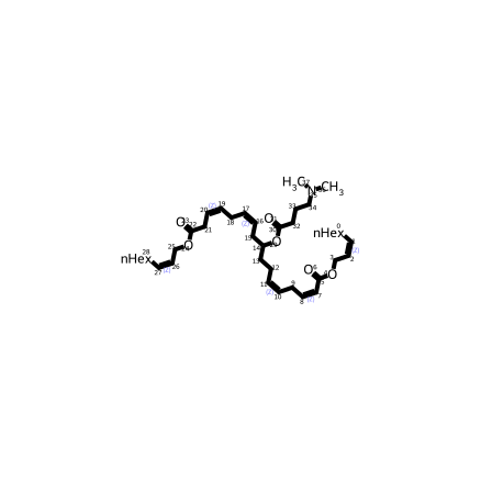 CCCCCC/C=C\COC(=O)/C=C\C/C=C\CCC(C/C=C\C/C=C\CC(=O)OC/C=C\CCCCCC)OC(=O)CCCN(C)C